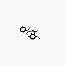 COc1ccc(F)c2c1c(F)cn2S(=O)(=O)c1ccccc1